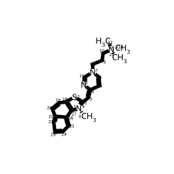 C[n+]1c(/C=C2/C=CN(CCC[N+](C)(C)C)C=N2)sc2ccc3ccccc3c21